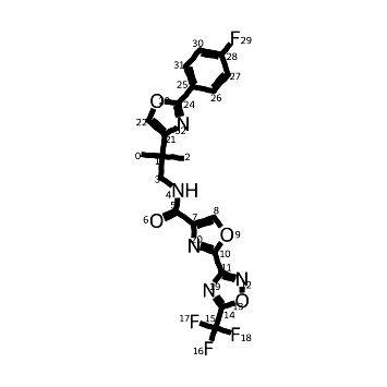 CC(C)(CNC(=O)c1coc(-c2noc(C(F)(F)F)n2)n1)c1coc(-c2ccc(F)cc2)n1